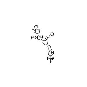 COCCOc1cc(OCC2(C)CC=C(C(F)(F)F)C=N2)ccc1-c1c[nH]c(-c2ccc(Cl)nc2)n1